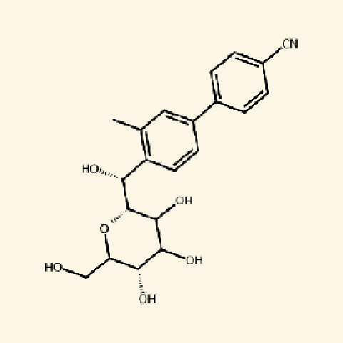 Cc1cc(-c2ccc(C#N)cc2)ccc1[C@@H](O)[C@H]1OC(CO)[C@@H](O)C(O)C1O